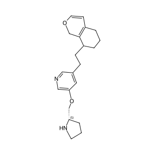 C1=CC2=C(CO1)C(CCc1cncc(OC[C@@H]3CCCN3)c1)CCC2